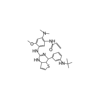 C=CC(=O)Nc1cc(NC2=NC(c3cccc(NC(C)(C)C)c3)C3SC=CC3N2)c(OC)cc1N(C)C